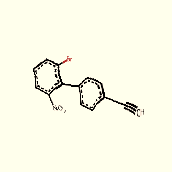 C#Cc1ccc(-c2c(Br)cccc2[N+](=O)[O-])cc1